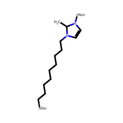 CCCCCCCCCCCCCCCCCCCN1C=CN(CCCCCCCCC)C1C